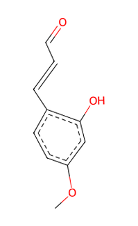 COc1ccc(C=CC=O)c(O)c1